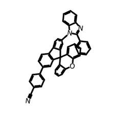 N#Cc1ccc(-c2ccc3c(c2)C2(c4ccccc4Oc4ccccc42)c2cc(-n4c(-c5ccccc5)nc5ccccc54)ccc2-3)cc1